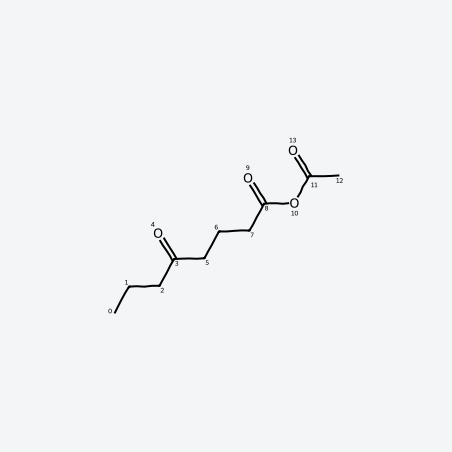 CCCC(=O)CCCC(=O)OC(C)=O